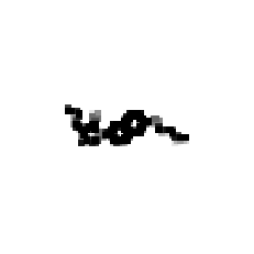 COCC1OCN(c2ccc3cc(OCCSC)ccc3c2)C1=O